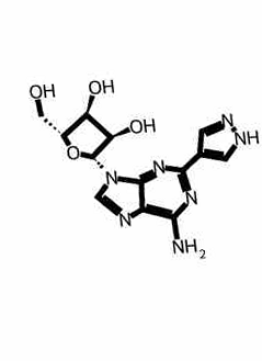 Nc1nc(-c2cn[nH]c2)nc2c1ncn2[C@@H]1O[C@H](CO)[C@@H](O)[C@H]1O